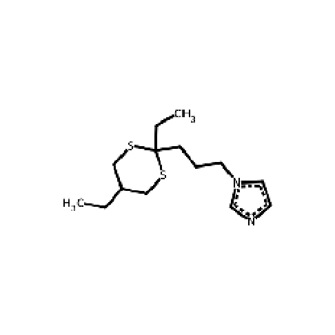 CCC1CSC(CC)(CCCn2ccnc2)SC1